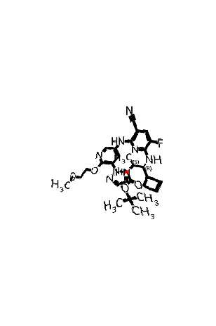 COCCOc1ncc(Nc2nc(N[C@H](C3CCC3)[C@H](C)NC(=O)OC(C)(C)C)c(F)cc2C#N)cc1-n1nccn1